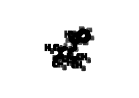 CCC(=O)C(C)C[C@H](Cc1c[nH]c2ccccc12)NC(C)C